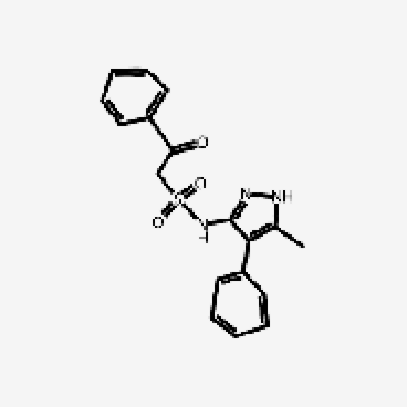 Cc1[nH]nc(NS(=O)(=O)CC(=O)c2ccccc2)c1-c1ccccc1